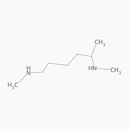 CNCCCCC(C)NC